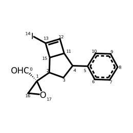 O=C[C@@]1(C2CC(c3ccccc3)C3C=C(I)C32)CO1